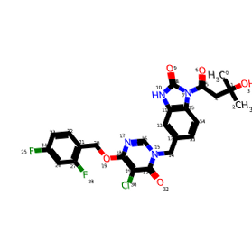 CC(C)(O)CC(=O)n1c(=O)[nH]c2cc(Cn3cnc(OCc4ccc(F)cc4F)c(Cl)c3=O)ccc21